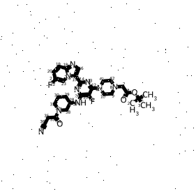 CC(C)(C)OC(=O)CN1CCN(c2nc(-c3cnc4ccc(F)cn34)nc(NC3CCCN(C(=O)CC#N)C3)c2F)CC1